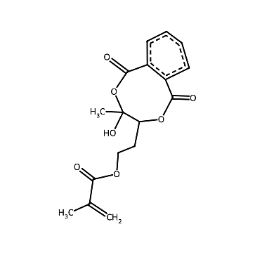 C=C(C)C(=O)OCCC1OC(=O)c2ccccc2C(=O)OC1(C)O